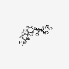 Cc1cnc(C(=O)Nc2ccc(F)c([C@]3(C)CC(C)(C)SC(N)=N3)c2)cn1